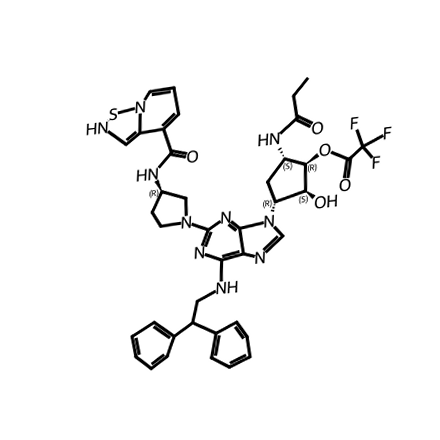 CCC(=O)N[C@H]1C[C@@H](n2cnc3c(NCC(c4ccccc4)c4ccccc4)nc(N4CC[C@@H](NC(=O)C5=CC=CN6SNC=C56)C4)nc32)[C@H](O)[C@@H]1OC(=O)C(F)(F)F